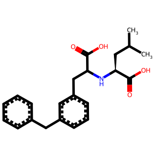 CC(C)C[C@H](NC(Cc1cccc(Cc2ccccc2)c1)C(=O)O)C(=O)O